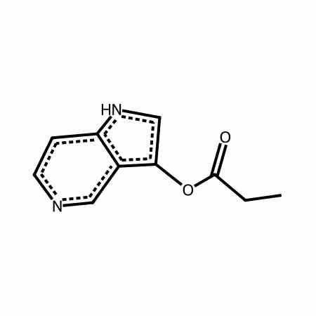 CCC(=O)Oc1c[nH]c2ccncc12